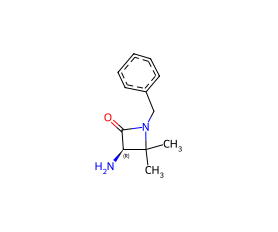 CC1(C)[C@@H](N)C(=O)N1Cc1ccccc1